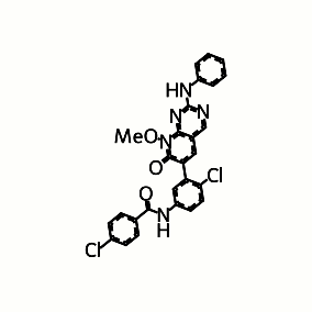 COn1c(=O)c(-c2cc(NC(=O)c3ccc(Cl)cc3)ccc2Cl)cc2cnc(Nc3ccccc3)nc21